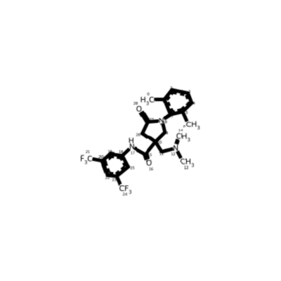 Cc1cccc(C)c1N1CC(CN(C)C)(C(=O)Nc2cc(C(F)(F)F)cc(C(F)(F)F)c2)CC1=O